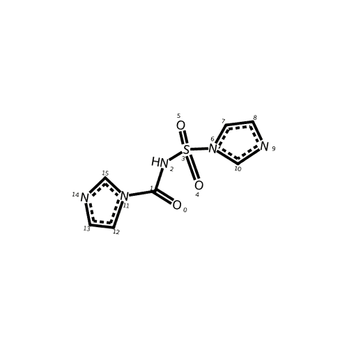 O=C(NS(=O)(=O)n1ccnc1)n1ccnc1